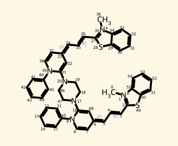 C[n+]1c(/C=C/C=C2/C=CN(c3ccccc3)C(N3CCN(C4=C/C(=C\C=C\c5sc6ccccc6[n+]5C)C=CN4c4ccccc4)CC3)=C2)sc2ccccc21